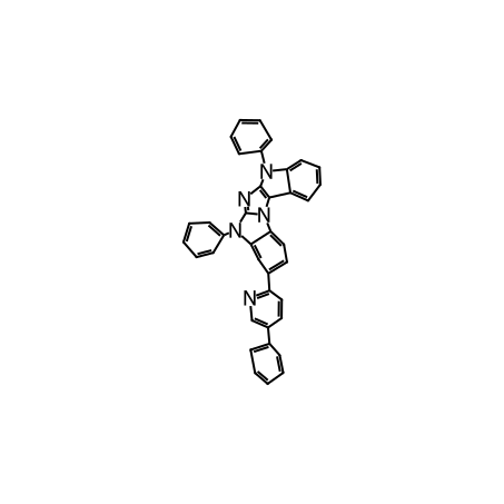 c1ccc(-c2ccc(-c3ccc4c(c3)n(-c3ccccc3)c3nc5c(c6ccccc6n5-c5ccccc5)n43)nc2)cc1